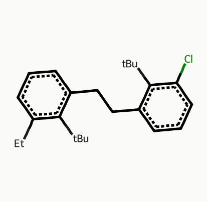 CCc1cccc(CCc2cccc(Cl)c2C(C)(C)C)c1C(C)(C)C